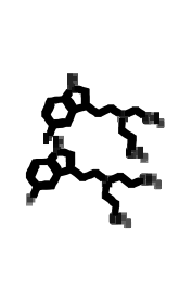 C=CCN(CC)CCc1c[nH]c2ccc(F)cc12.CCCN(CCC)CCc1c[nH]c2ccc(F)cc12